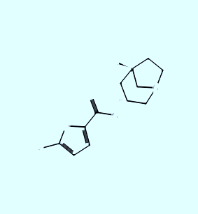 O=C(N[C@@H]1C[C@@H]2CCN(C2)C1)c1ccc(Br)o1